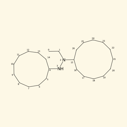 CCN(NC1CCCCCCCCCC1)C1CCCCCCCCCCC1